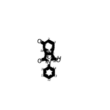 O=C1C=CC2C3C(=O)N(c4ccccc4)C(=O)C3C1N2C(=O)O